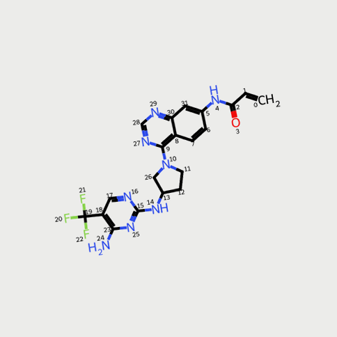 C=CC(=O)Nc1ccc2c(N3CCC(Nc4ncc(C(F)(F)F)c(N)n4)C3)ncnc2c1